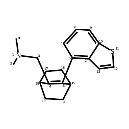 CN(C)CC1=C(c2cccc3sccc23)C2CCC1CC2